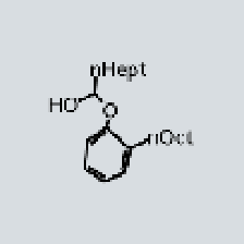 CCCCCCCCc1ccccc1OC(O)CCCCCCC